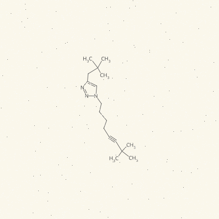 CC(C)(C)C#CCCCCn1cc(CC(C)(C)C)nn1